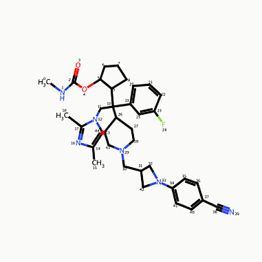 CNC(=O)OC1CCCC1C(Cn1cc(C)nc1C)(c1cccc(F)c1)C1CCN(CC2CN(c3ccc(C#N)cc3)C2)CC1